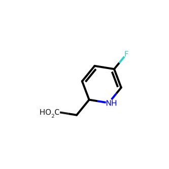 O=C(O)CC1C=CC(F)=CN1